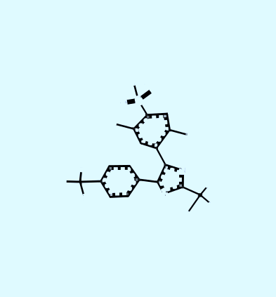 CS(=O)(=O)c1cc(F)c(-c2nc(C(F)(F)F)[nH]c2-c2ccc(C(F)(F)F)cc2)cc1F